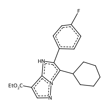 CCOC(=O)c1cnn2c(C3CCCCC3)c(-c3ccc(F)cc3)[nH]c12